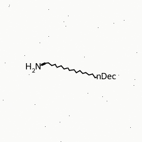 CCCCCCCCCCCCCCCCCCCCCCCCCCC#CN